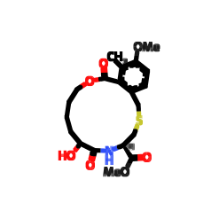 COC(=O)[C@@H]1CSCc2ccc(OC)c(C)c2C(=O)OCCCCC(O)C(=O)N1